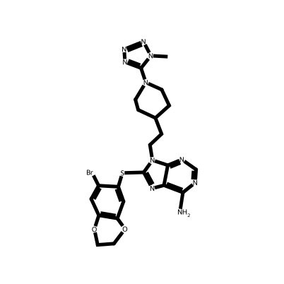 Cn1nnnc1N1CCC(CCn2c(Sc3cc4c(cc3Br)OCCO4)nc3c(N)ncnc32)CC1